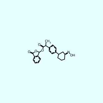 CC(C(=O)OC1OC(=O)c2ccccc21)c1ccc(C2CCCC(=NO)C2)cc1